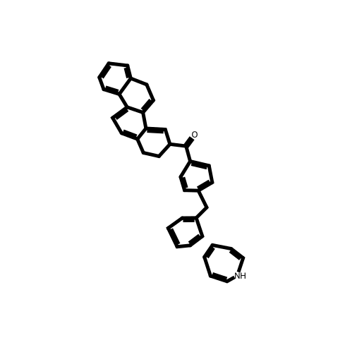 C1=CC=CNC=C1.O=C(c1ccc(Cc2ccccc2)cc1)C1C=c2c(ccc3c2=CCc2ccccc2-3)CC1